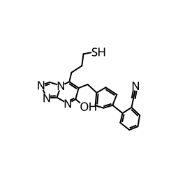 N#Cc1ccccc1-c1ccc(Cc2c(O)nc3nncn3c2CCCS)cc1